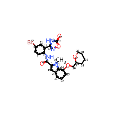 Cn1c(C(=O)Nc2ccc(Br)cc2-c2noc(=O)[nH]2)cc2cccc(OCC3CCCCO3)c21